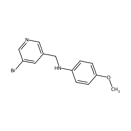 COc1ccc(NCc2cncc(Br)c2)cc1